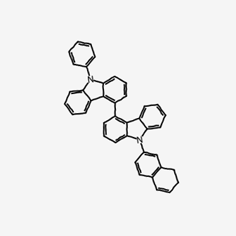 C1=Cc2ccc(-n3c4ccccc4c4c(-c5cccc6c5c5ccccc5n6-c5ccccc5)cccc43)cc2CC1